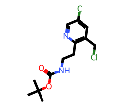 CC(C)(C)OC(=O)NCCc1ncc(Cl)cc1CCl